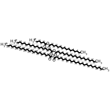 CCCCCCCCCCCCCCCC(=O)OC(=O)CCCCC.CCCCCCCCCCCCCCCCCCCC(=O)OC(=O)CCCCCCCCCCCCCCCCC.CCCCCCCCCCCCCCCCCCCCCCCC(=O)OC(=O)CCCCCCCCCCCCCCCCCCCCC